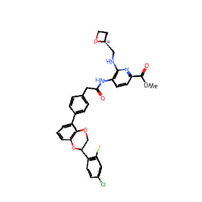 COC(=O)c1ccc(NC(=O)Cc2ccc(-c3cccc4c3OCC(c3ccc(Cl)cc3F)O4)cc2)c(NC[C@@H]2CCO2)n1